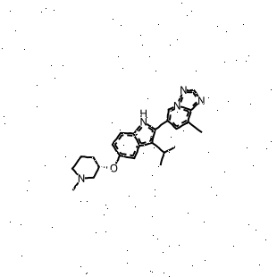 Cc1cc(-c2[nH]c3ccc(O[C@H]4CCCN(C)C4)cc3c2C(C)C)cn2ncnc12